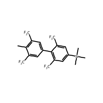 Cc1c(C(F)(F)F)cc(-c2c(C(F)(F)F)cc([Si](C)(C)C)cc2C(F)(F)F)cc1C(F)(F)F